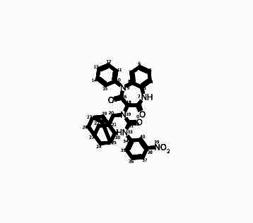 O=C1Nc2ccccc2N(c2ccccc2)C(=O)C1N(CC12CC3CC(CC(C3)C1)C2)C(=O)Nc1cccc([N+](=O)[O-])c1